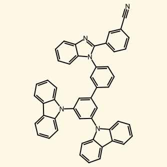 N#Cc1cccc(-c2nc3ccccc3n2-c2cccc(-c3cc(-n4c5ccccc5c5ccccc54)cc(-n4c5ccccc5c5ccccc54)c3)c2)c1